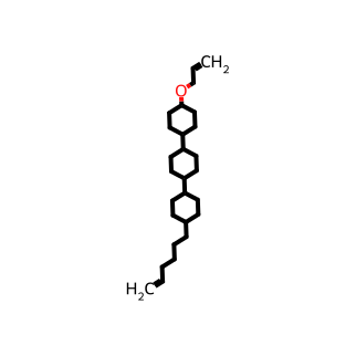 C=CCCCCC1CCC(C2CCC(C3CCC(OCC=C)CC3)CC2)CC1